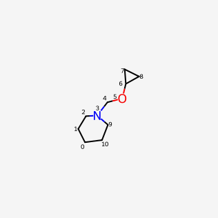 C1CCN(COC2CC2)CC1